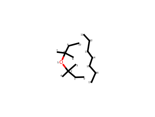 CCC(C)(C)OC(C)(C)CC.CCCCCCC